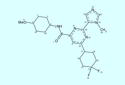 COC1CCC(NC(=O)c2cc(C3CCC(F)(F)CC3)nc(-c3cncn3C)n2)CC1